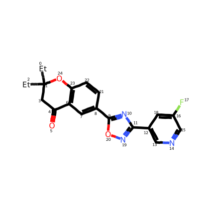 CCC1(CC)CC(=O)c2cc(-c3nc(-c4cncc(F)c4)no3)ccc2O1